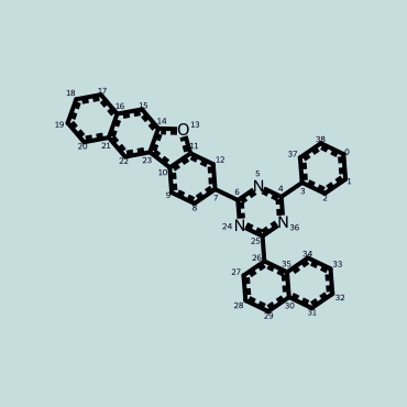 c1ccc(-c2nc(-c3ccc4c(c3)oc3cc5ccccc5cc34)nc(-c3cccc4ccccc34)n2)cc1